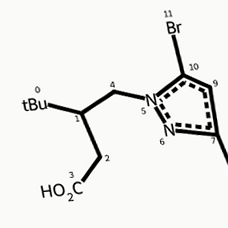 CC(C)(C)C(CC(=O)O)Cn1nc(Br)cc1Br